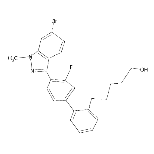 Cn1nc(-c2ccc(-c3ccccc3CCCCCO)cc2F)c2ccc(Br)cc21